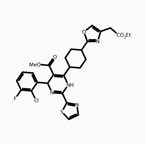 CCOC(=O)Cc1coc(C2CCC(C3=C(C(=O)OC)C(c4cccc(F)c4Cl)N=C(c4nccs4)N3)CC2)n1